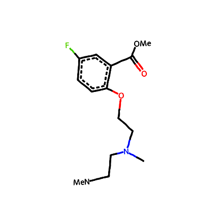 CNCCN(C)CCOc1ccc(F)cc1C(=O)OC